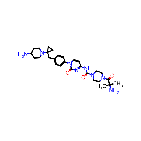 CC(C)(N)C(=O)N1CCN(C(=O)Nc2ccn(-c3ccc(CC4(N5CCC(N)CC5)CC4)cc3)c(=O)n2)CC1